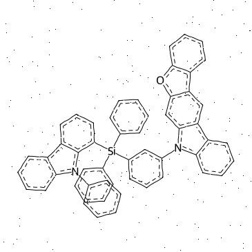 c1ccc(-n2c3ccccc3c3cccc([Si](c4ccccc4)(c4ccccc4)c4cccc(-n5c6ccccc6c6cc7c(cc65)oc5ccccc57)c4)c32)cc1